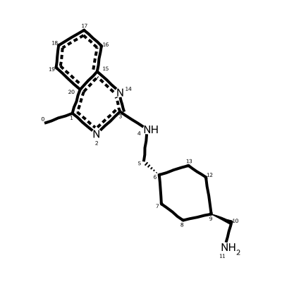 Cc1nc(NC[C@H]2CC[C@H](CN)CC2)nc2ccccc12